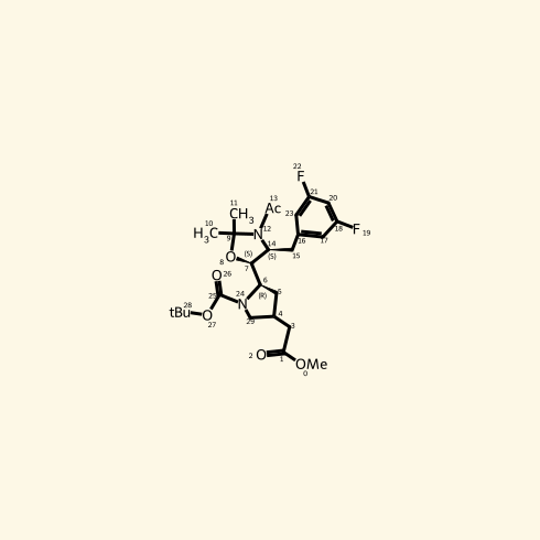 COC(=O)CC1C[C@H]([C@H]2OC(C)(C)N(C(C)=O)[C@H]2Cc2cc(F)cc(F)c2)N(C(=O)OC(C)(C)C)C1